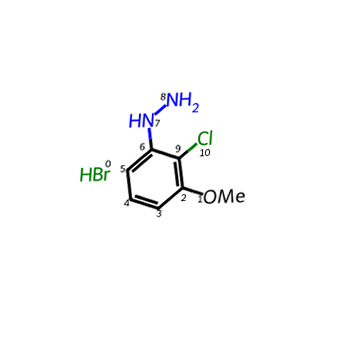 Br.COc1cccc(NN)c1Cl